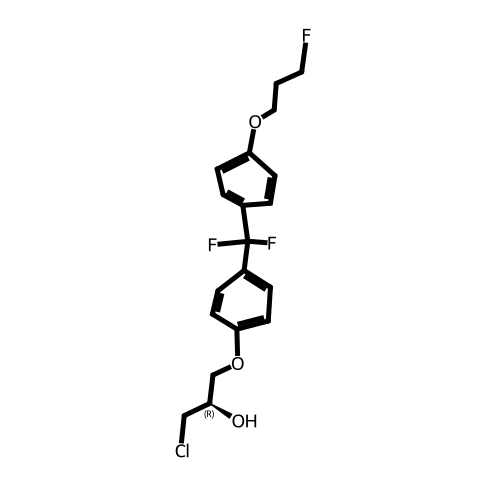 O[C@@H](CCl)COc1ccc(C(F)(F)c2ccc(OCCCF)cc2)cc1